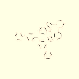 C1=CC2c3ccccc3C3(c4ccccc4-c4c(N(c5ccc(-c6ccccc6)cc5)c5ccc(-c6ccccc6)cc5)cccc43)c3ccccc3C2C=C1